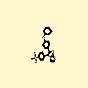 CS(=O)(=O)c1ccc(-c2c(-c3ccc(Oc4ccccc4)cc3)nc3occn23)cc1